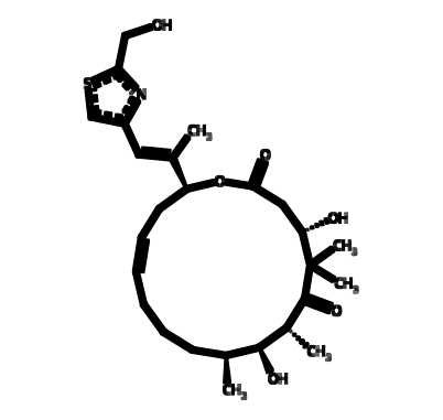 C/C(=C\c1csc(CO)n1)[C@@H]1C/C=C\CCC[C@H](C)[C@H](O)[C@@H](C)C(=O)C(C)(C)[C@@H](O)CC(=O)O1